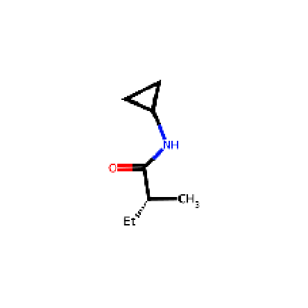 CC[C@@H](C)C(=O)NC1CC1